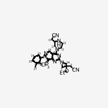 CCOC1(CC#N)CN(c2nc(N3CCNC(CC#N)C3)c3cnn(-c4cccc(C)c4C(F)(F)F)c(=O)c3n2)C1